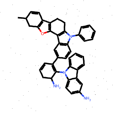 CC1C=Cc2c(oc3c2CCc2c-3c3cc(C4=C(n5c6ccccc6c6cc(N)ccc65)C(N)CC=C4)ccc3n2-c2ccccc2)C1